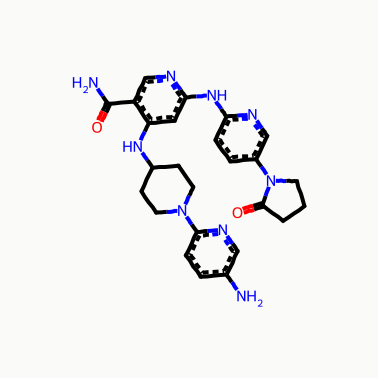 NC(=O)c1cnc(Nc2ccc(N3CCCC3=O)cn2)cc1NC1CCN(c2ccc(N)cn2)CC1